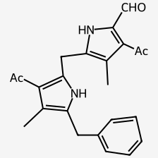 CC(=O)c1c(C=O)[nH]c(Cc2[nH]c(Cc3ccccc3)c(C)c2C(C)=O)c1C